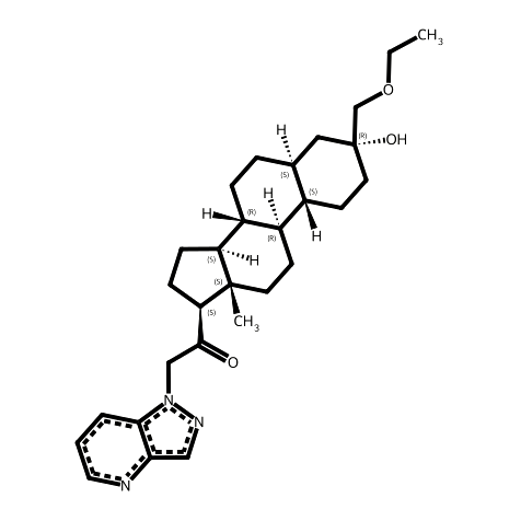 CCOC[C@@]1(O)CC[C@H]2[C@@H](CC[C@@H]3[C@@H]2CC[C@]2(C)[C@@H](C(=O)Cn4ncc5ncccc54)CC[C@@H]32)C1